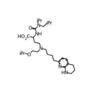 CC(C)CN(C(=O)NC(CCN(CCCCc1ccc2c(n1)NCCC2)CCOC(C)C)C(=O)O)C(C)C